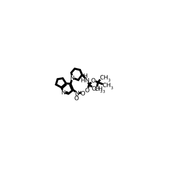 CC(C)(C)OC1(C)N[C@H]2CCCN(C2)c2c(cnc3c2CCC3)[N+](=O)OO1